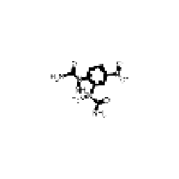 NC(=O)N(N)c1ccc([N+](=O)[O-])cc1N(N)C(N)=O